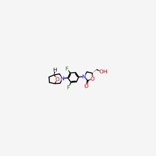 O=C1O[C@@H](CO)CN1c1cc(F)c(N2CC3CC[C@H](C2)O3)c(F)c1